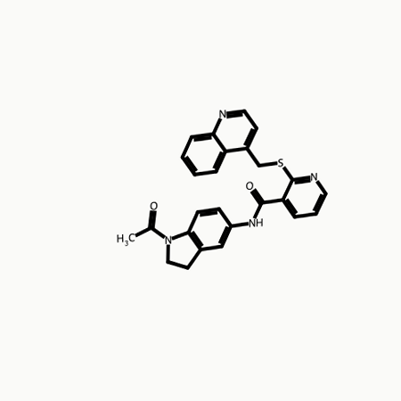 CC(=O)N1CCc2cc(NC(=O)c3cccnc3SCc3ccnc4ccccc34)ccc21